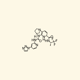 C[C@@H](NC(=O)C1C=CC2=C(N1)N(C(=O)Nc1cc(-n3ccnn3)ccn1)[C@H]1CCN2C1)C(F)(F)F